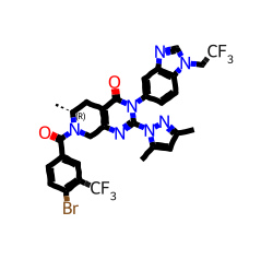 Cc1cc(C)n(-c2nc3c(c(=O)n2-c2ccc4c(c2)ncn4CC(F)(F)F)C[C@@H](C)N(C(=O)c2ccc(Br)c(C(F)(F)F)c2)C3)n1